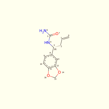 C=CC[C@@H](NC(N)=O)c1ccc2c(c1)OCO2